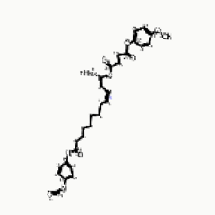 CCCCCC[C@H](C/C=C\CCCCCCCC(=O)Oc1ccc(N=C=O)cc1)OC(=O)CCC(=O)Oc1ccc(OC#N)cc1